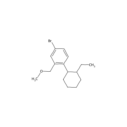 CCC1CCCCC1c1ccc(Br)cc1COC